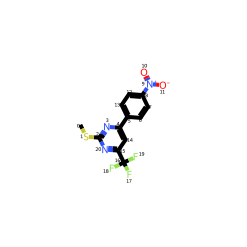 CSc1nc(-c2ccc([N+](=O)[O-])cc2)cc(C(F)(F)F)n1